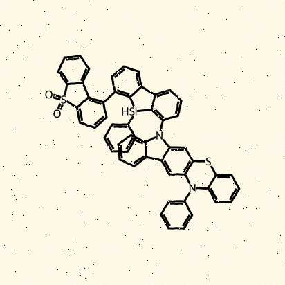 O=S1(=O)c2ccccc2-c2c(-c3cccc4c3[SiH](c3ccccc3)c3c-4cccc3-n3c4ccccc4c4cc5c(cc43)Sc3ccccc3N5c3ccccc3)cccc21